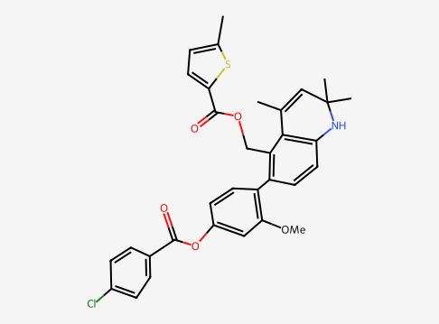 COc1cc(OC(=O)c2ccc(Cl)cc2)ccc1-c1ccc2c(c1COC(=O)c1ccc(C)s1)C(C)=CC(C)(C)N2